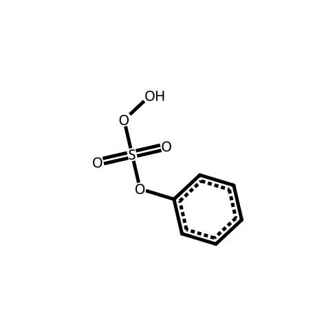 O=S(=O)(OO)Oc1ccccc1